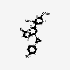 COc1ncc(-c2cc([C@H]3C[C@@H]3c3ccc(C#N)cc3)c3ncc(F)n3n2)c(OC)n1